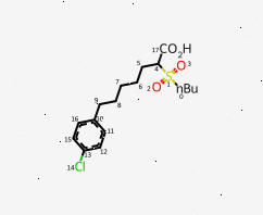 CCCCS(=O)(=O)C(CCCCCc1ccc(Cl)cc1)C(=O)O